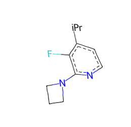 CC(C)c1ccnc(N2CCC2)c1F